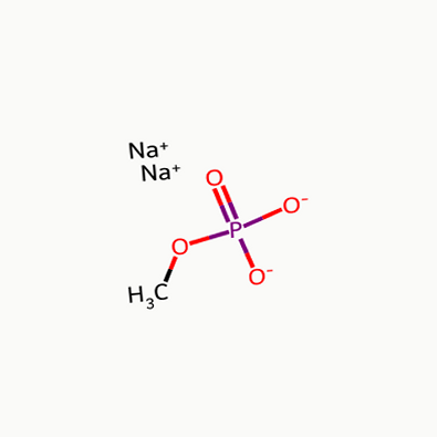 COP(=O)([O-])[O-].[Na+].[Na+]